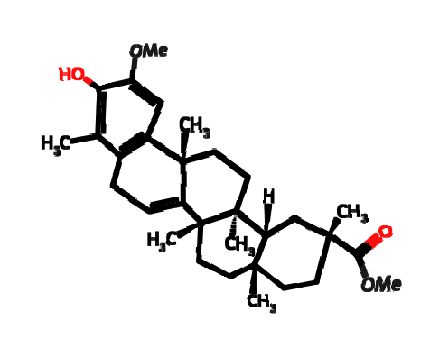 COC(=O)[C@]1(C)CC[C@]2(C)CC[C@]3(C)C4=CCc5c(cc(OC)c(O)c5C)[C@]4(C)CC[C@@]3(C)[C@@H]2C1